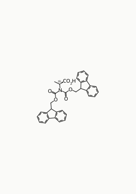 C[C@@H](C(=O)O)N(C(=O)OCC1c2ccccc2-c2ccccc21)C(=O)OCC1c2ccccc2-c2ccccc21